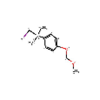 COCOc1ccc([Si](C)(C)CI)cc1